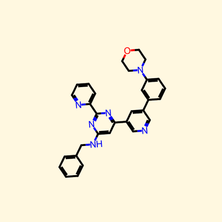 c1ccc(CNc2cc(-c3cncc(-c4cccc(N5CCOCC5)c4)c3)nc(-c3ccccn3)n2)cc1